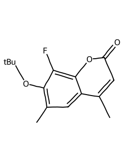 Cc1cc2c(C)cc(=O)oc2c(F)c1OC(C)(C)C